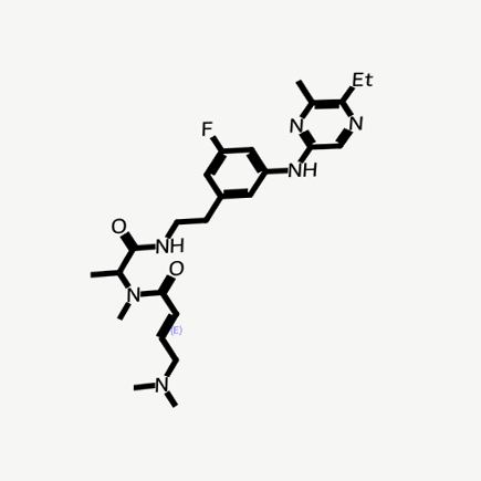 CCc1ncc(Nc2cc(F)cc(CCNC(=O)C(C)N(C)C(=O)/C=C/CN(C)C)c2)nc1C